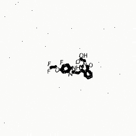 O=C(O)Cn1nc(Cc2nc3cc(OCC(F)F)c(F)cc3[nH]2)c2ccccc2c1=O